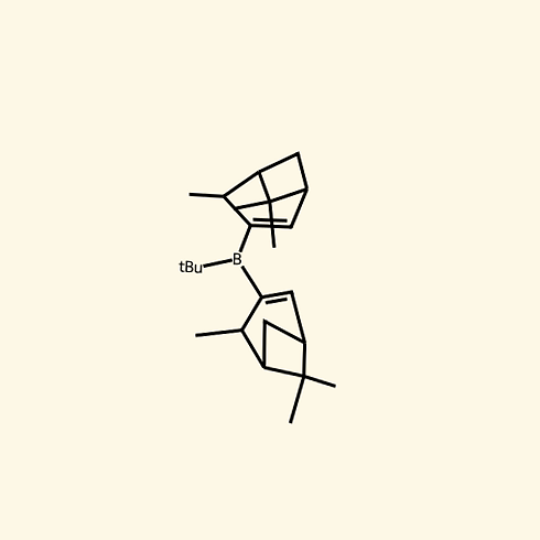 CC1C(B(C2=CC3CC(C2C)C3(C)C)C(C)(C)C)=CC2CC1C2(C)C